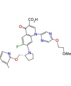 COCCOc1cnc(-n2cc(C(=O)O)c(=O)c3cc(F)c(N4CCC[C@@H]4COc4ncccc4C)cc32)cn1